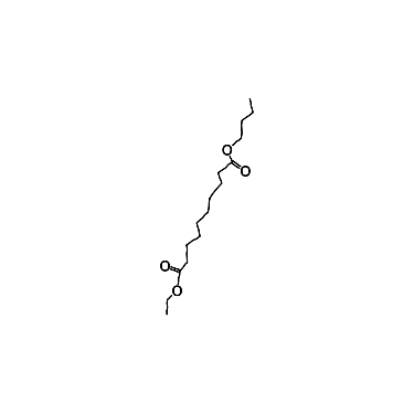 CCCCOC(=O)CCCCCCCCC(=O)OCC